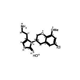 COc1cc(Cl)cc2c1OC[C@H](N1C(=S)[N]C=C1CCN)C2.Cl